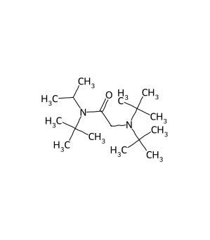 CC(C)N(C(=O)CN(C(C)(C)C)C(C)(C)C)C(C)(C)C